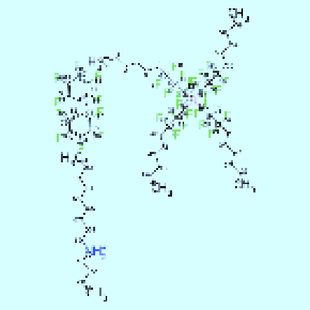 CCCCCCC(F)(F)C(F)(F)C(F)(F)[B-](C(F)(F)C(F)(F)C(F)(F)CCCCCC)(C(F)(F)C(F)(F)C(F)(F)CCCCCC)C(F)(F)C(F)(F)C(F)(F)CCCCCC.CCCCCCCCC[NH2+]CCCC.Fc1c(F)c(F)c(-c2c(F)c(F)c(F)c(F)c2F)c(F)c1F